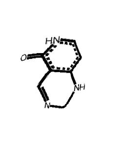 O=c1[nH]ccc2c1C=NCN2